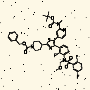 COCN(c1cccc(-c2nc(C3CCN(C(=O)OCc4ccccc4)CC3)sc2-c2ccnc(N(C)C(=O)OC(C)(C)C)c2)c1F)S(=O)(=O)c1cc(F)ccc1F